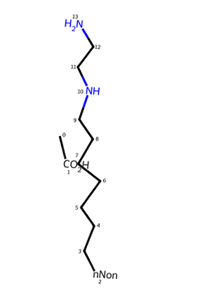 CC(=O)O.CCCCCCCCCCCCCCCCNCCN